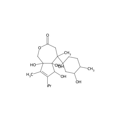 CC1=C(C(C)C)C(O)C2(O)C1(O)COC(=O)CC2(C)C1(O)CCC(C)C(O)C1